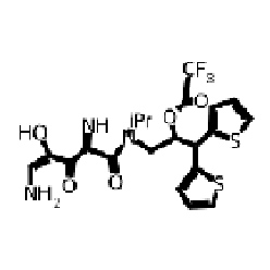 CC(C)N(CC(OC(=O)C(F)(F)F)C(c1cccs1)c1cccs1)C(=O)C(=N)C(=O)/C(O)=C\N